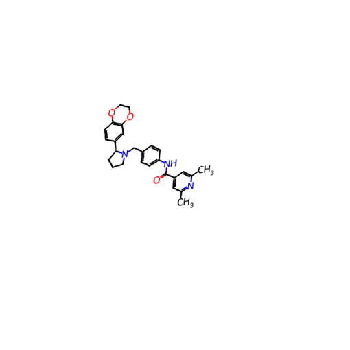 Cc1cc(C(=O)Nc2ccc(CN3CCC[C@H]3c3ccc4c(c3)OCCO4)cc2)cc(C)n1